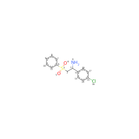 NC(CS(=O)(=O)c1ccccc1)c1ccc(Cl)cc1